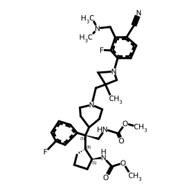 COC(=O)NC[C@@](c1cccc(F)c1)(C1CCN(CC2(C)CN(c3ccc(C#N)c(CN(C)C)c3F)C2)CC1)[C@H]1CCC[C@@H]1NC(=O)OC